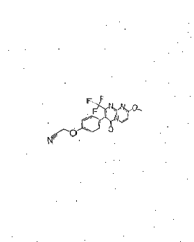 COc1ccn2c(=O)c(-c3ccc(OCC#N)cc3)c(C(F)(F)F)nc2n1